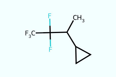 CC(C1CC1)C(F)(F)C(F)(F)F